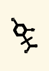 CC(C)(C(=O)Cl)c1ccc(Cl)cc1Br